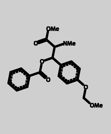 CNC(C(=O)OC)C(OC(=O)c1ccccc1)c1ccc(OCOC)cc1